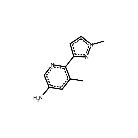 Cc1cc(N)cnc1-c1ccn(C)n1